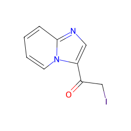 O=C(CI)c1cnc2ccccn12